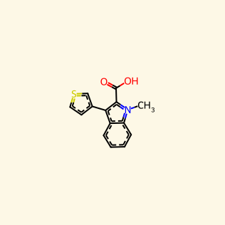 Cn1c(C(=O)O)c(-c2ccsc2)c2ccccc21